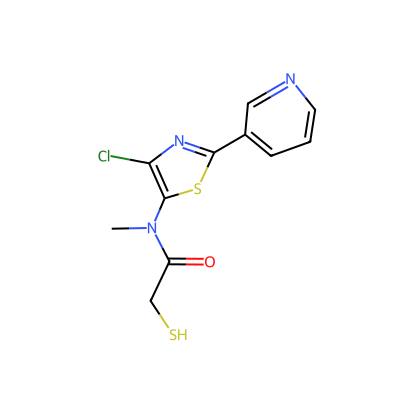 CN(C(=O)CS)c1sc(-c2cccnc2)nc1Cl